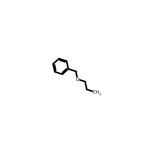 CCCO[C]c1ccccc1